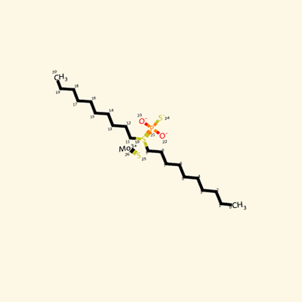 CCCCCCCCCCS(CCCCCCCCCC)=P([O-])([O-])[S-].[S]=[Mo+3]